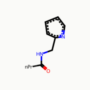 CCCC(=O)NCc1ccccn1